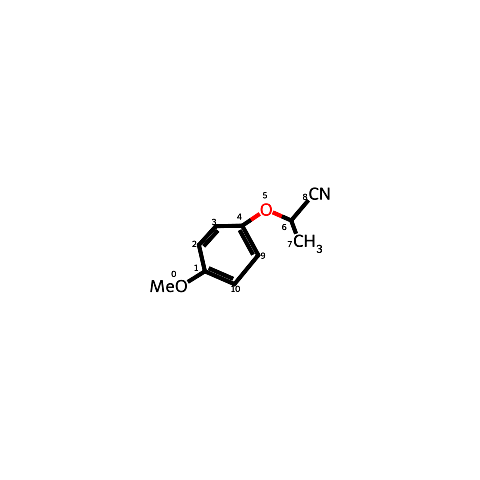 COc1ccc(OC(C)C#N)cc1